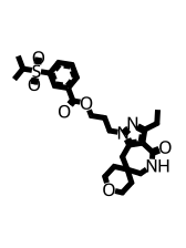 CCc1nn(CCCOC(=O)c2cccc(S(=O)(=O)C(C)C)c2)c2c1C(=O)NCC1(CCOCC1)C2